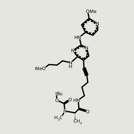 COCCCNc1nc(Nc2ccnc(OC)c2)ncc1C#CCCCNC(=O)[C@H](C)N(C)C(=O)OC(C)(C)C